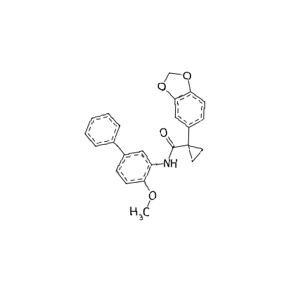 COc1ccc(-c2ccccc2)cc1NC(=O)C1(c2ccc3c(c2)OCO3)CC1